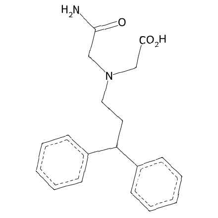 NC(=O)CN(CCC(c1ccccc1)c1ccccc1)CC(=O)O